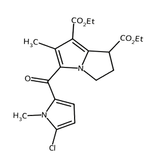 CCOC(=O)c1c(C)c(C(=O)c2ccc(Cl)n2C)n2c1C(C(=O)OCC)CC2